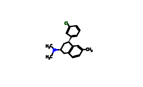 Cc1ccc2c(c1)[C@@H](c1cccc(Cl)c1)C[C@H](N(C)C)C2